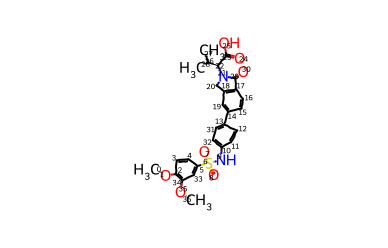 COc1ccc(S(=O)(=O)Nc2ccc(-c3ccc4c(c3)CN([C@H](C(=O)O)C(C)C)C4=O)cc2)cc1OC